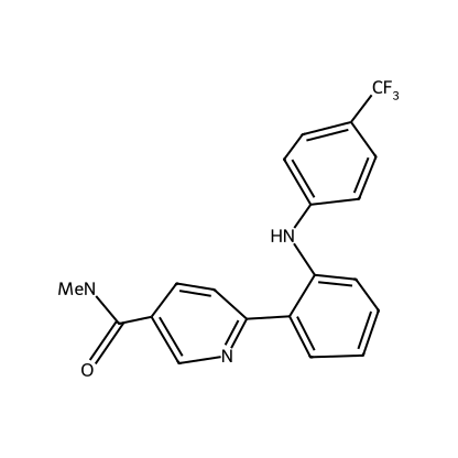 CNC(=O)c1ccc(-c2ccccc2Nc2ccc(C(F)(F)F)cc2)nc1